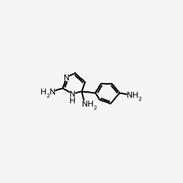 NC1=NC=CC(N)(c2ccc(N)cc2)N1